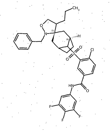 CCCC1CON(Cc2ccccc2)[C@]12CC1CC[C@H](C2)C1S(=O)(=O)c1cc(C(=O)Nc2cc(F)c(F)c(F)c2)ccc1Cl